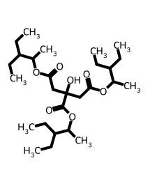 CCC(CC)C(C)OC(=O)CC(O)(CC(=O)OC(C)C(CC)CC)C(=O)OC(C)C(CC)CC